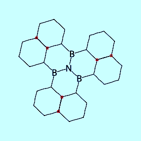 C1CCC(B(C2CCCCC2)N(B(C2CCCCC2)C2CCCCC2)B(C2CCCCC2)C2CCCCC2)CC1